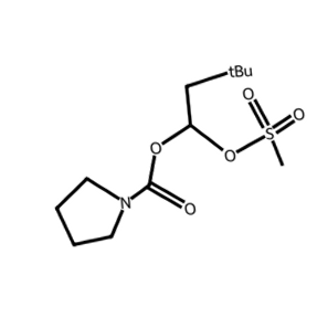 CC(C)(C)CC(OC(=O)N1CCCC1)OS(C)(=O)=O